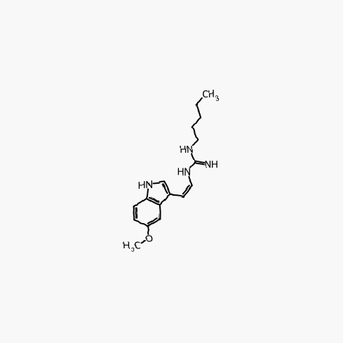 CCCCCNC(=N)N/C=C\c1c[nH]c2ccc(OC)cc12